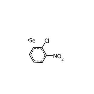 O=[N+]([O-])c1ccccc1Cl.[Se]